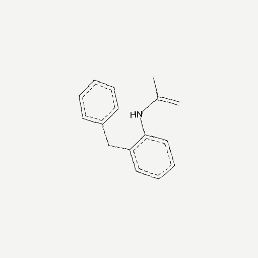 C=C(C)Nc1ccccc1Cc1ccccc1